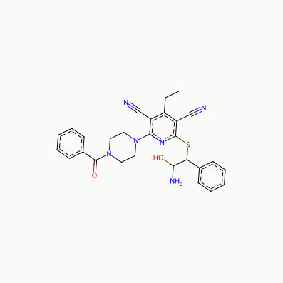 CCc1c(C#N)c(SC(c2ccccc2)C(N)O)nc(N2CCN(C(=O)c3ccccc3)CC2)c1C#N